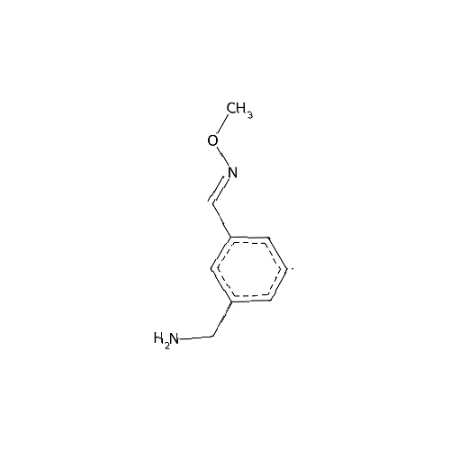 CON=Cc1c[c]cc(CN)c1